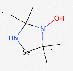 CC1(C)N[Se]C(C)(C)N1O